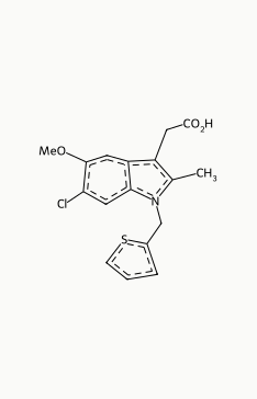 COc1cc2c(CC(=O)O)c(C)n(Cc3cccs3)c2cc1Cl